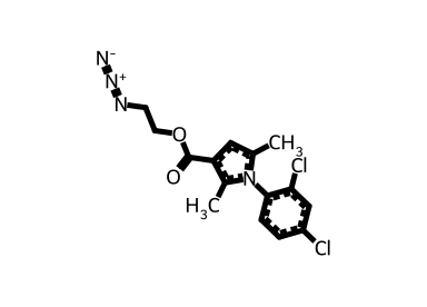 Cc1cc(C(=O)OCCN=[N+]=[N-])c(C)n1-c1ccc(Cl)cc1Cl